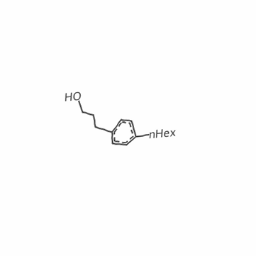 CCCCCCc1ccc(CCCO)cc1